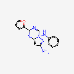 NC1=N[N+]2(Nc3ccccc3)C=NC(c3ccco3)=NC2=C1